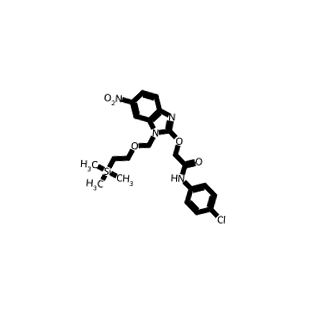 C[Si](C)(C)CCOCn1c(OCC(=O)Nc2ccc(Cl)cc2)nc2ccc([N+](=O)[O-])cc21